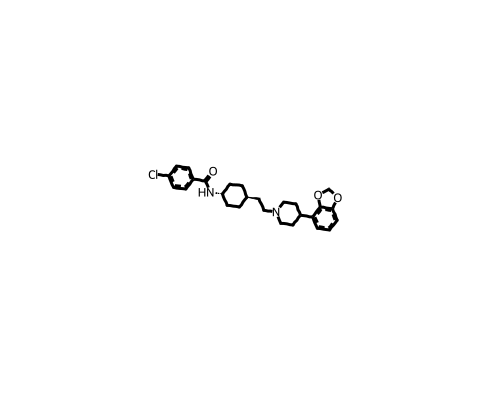 O=C(N[C@H]1CC[C@H](CCN2CCC(c3cccc4c3OCO4)CC2)CC1)c1ccc(Cl)cc1